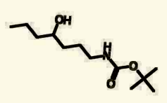 CCCC(O)CCCNC(=O)OC(C)(C)C